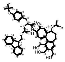 CC(=O)N[C@H]1CCc2cc(CO)c(CO)c(CO)c2-c2ccc(NC(=O)[C@H](Cc3ccc(OC(C)(C)C)cc3)NC(=O)OCC3c4ccccc4-c4ccccc43)c(=O)cc21